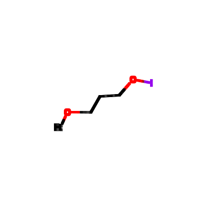 CCOCCCOI